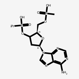 CC(C)P(=O)(O)OC1C[C@H](n2cnc3c(N)ncnc32)O[C@@H]1COP(C)(=O)O